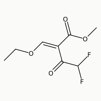 CCO/C=C(/C(=O)OC)C(=O)C(F)F